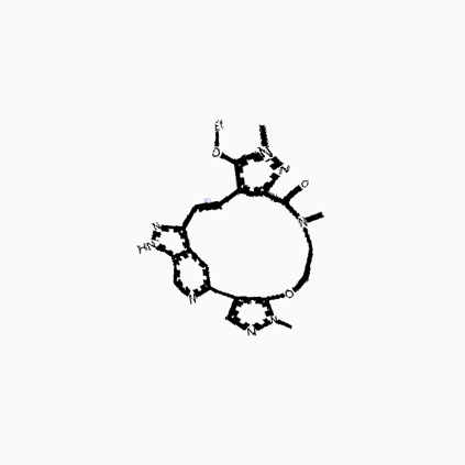 CCOc1c2c(nn1C)C(=O)N(C)CCOc1c(cnn1C)-c1cc3c(n[nH]c3cn1)/C=C/2